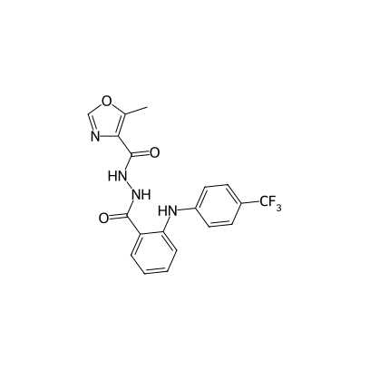 Cc1ocnc1C(=O)NNC(=O)c1ccccc1Nc1ccc(C(F)(F)F)cc1